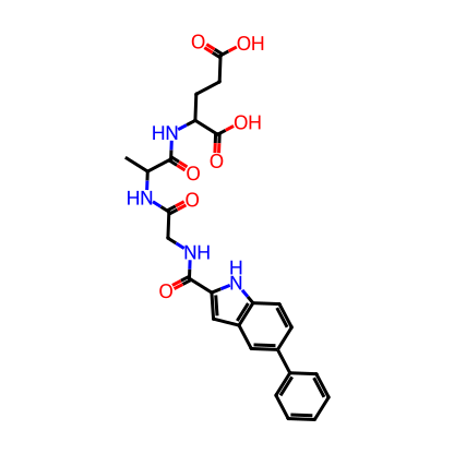 CC(NC(=O)CNC(=O)c1cc2cc(-c3ccccc3)ccc2[nH]1)C(=O)NC(CCC(=O)O)C(=O)O